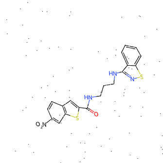 O=C(NCCCNc1nsc2ccccc12)c1cc2ccc([N+](=O)[O-])cc2s1